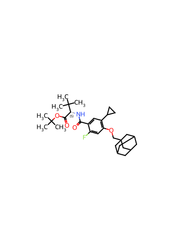 CC(C)(C)OC(=O)[C@@H](NC(=O)c1cc(C2CC2)c(OCC23CC4CC(CC(C4)C2)C3)cc1F)C(C)(C)C